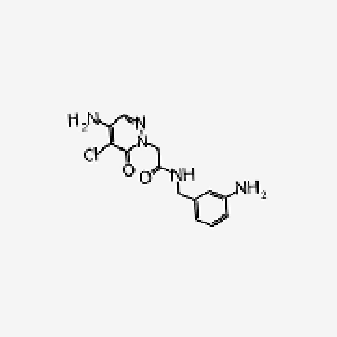 Nc1cccc(CNC(=O)Cn2ncc(N)c(Cl)c2=O)c1